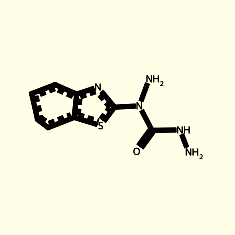 NNC(=O)N(N)c1nc2ccccc2s1